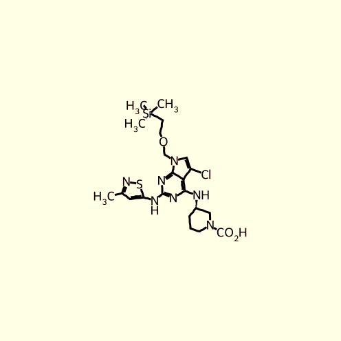 Cc1cc(Nc2nc(N[C@@H]3CCCN(C(=O)O)C3)c3c(Cl)cn(COCC[Si](C)(C)C)c3n2)sn1